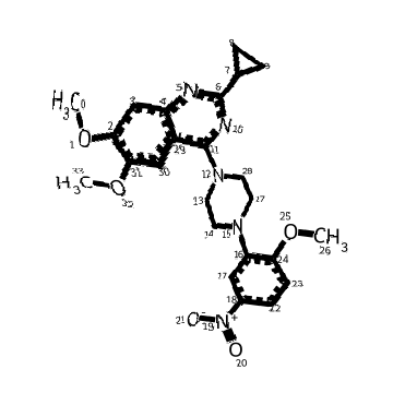 COc1cc2nc(C3CC3)nc(N3CCN(c4cc([N+](=O)[O-])ccc4OC)CC3)c2cc1OC